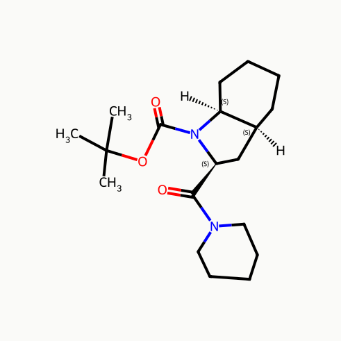 CC(C)(C)OC(=O)N1[C@H](C(=O)N2CCCCC2)C[C@@H]2CCCC[C@@H]21